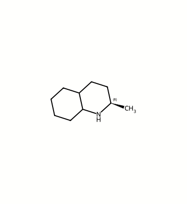 C[C@@H]1CCC2CCCCC2N1